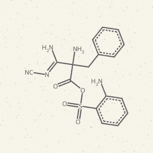 N#CN=C(N)C(N)(Cc1ccccc1)C(=O)OS(=O)(=O)c1ccccc1N